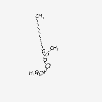 CCCCCCCCCCCCCCCCOCC(COCc1cccc(CN2C=CN(C)C2)c1)OCCC